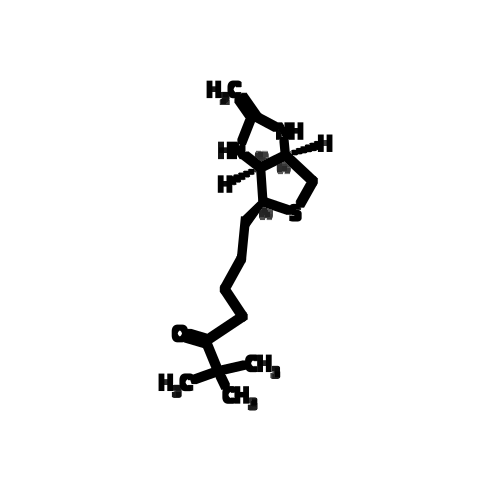 C=C1N[C@H]2[C@H](CS[C@H]2CCCCC(=O)C(C)(C)C)N1